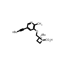 CCCCC#Cc1cnc(C)c(OC[C@]2(C(C)(C)C)CCN2C(=O)O)c1